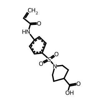 C=CC(=O)Nc1ccc(S(=O)(=O)N2CCC(C(=O)O)CC2)cc1